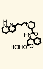 Cl.O=C(O)CC(NC(=O)C1CCCN(CCCc2ccc3c(n2)NCCC3)C1)c1ccccc1